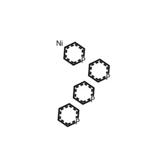 [Ni].c1ccpcc1.c1ccpcc1.c1ccpcc1.c1ccpcc1